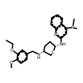 CCOc1cc(CN[C@H]2CC[C@@H](Nc3cc(N(C)C)c4ccccc4n3)CC2)ccc1OC